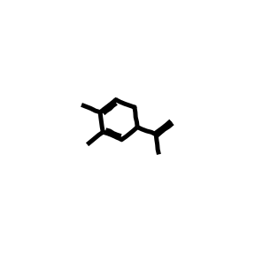 C=C(C)C1C=C(C)C(C)=CC1